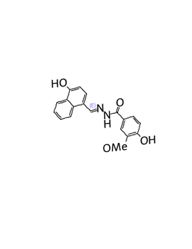 COc1cc(C(=O)N/N=C/c2ccc(O)c3ccccc23)ccc1O